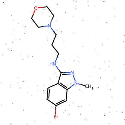 Cn1nc(NCCCN2CCOCC2)c2ccc(Br)cc21